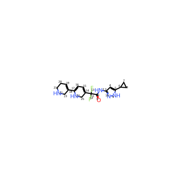 O=C(Nc1cc(C2CC2)[nH]n1)C(F)(F)C1=CC=C(C2=CCCNC2)NC1